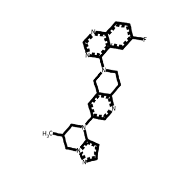 CC1CN(c2cnc3c(c2)CN(c2ncnc4ccc(F)cc24)CC3)c2ccnn2C1